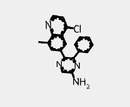 Cc1cc(-c2ncc(N)nc2-c2ccccc2)cc2c(Cl)ccnc12